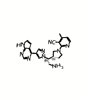 Cc1ccnc(N2CC[C@H]([C@H](CN)n3cc(-c4ncnc5[nH]ccc45)cn3)C2)c1C#N